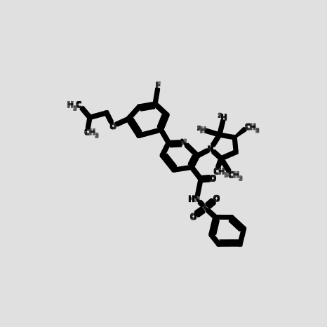 [2H]C1([2H])[C@@H](C)CC(C)(C)N1c1nc(-c2cc(F)cc(OCC(C)C)c2)ccc1C(=O)NS(=O)(=O)c1ccccc1